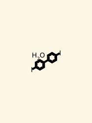 Ic1ccc(-c2ccc(I)cc2)cc1.O